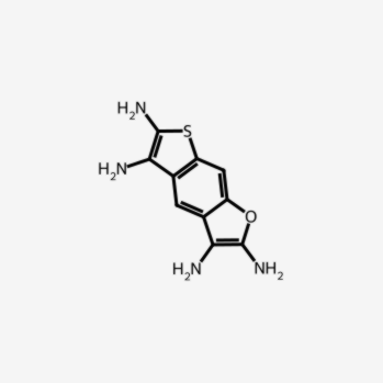 Nc1oc2cc3sc(N)c(N)c3cc2c1N